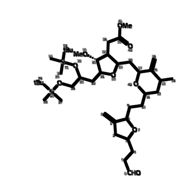 C=C1CC(CCC=O)OC1CCC1CC(C)C(=C)C(CC2OC(CC(CO[Si](C)(C)C(C)(C)C)O[Si](C)(C)C(C)(C)C)[C@H](OC)C2CC(=O)OC)O1